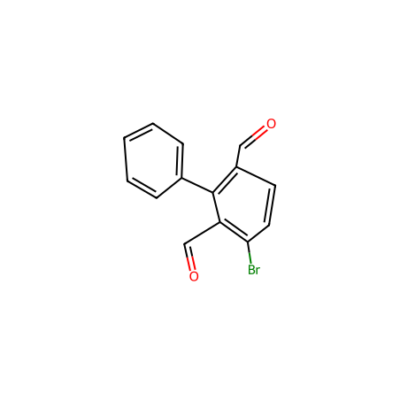 O=Cc1ccc(Br)c(C=O)c1-c1ccccc1